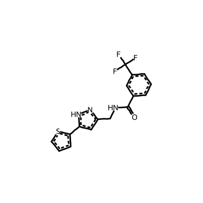 O=C(NCc1cc(-c2cccs2)[nH]n1)c1cccc(C(F)(F)F)c1